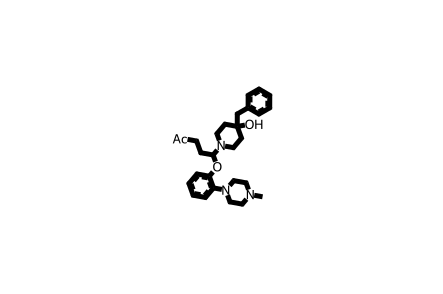 CC(=O)CCC(Oc1ccccc1N1CCN(C)CC1)N1CCC(O)(Cc2ccccc2)CC1